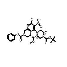 COC(=O)[C@H]1CN(C(=O)OC(C)(C)C)[C@H](C)CN1c1c2c(nc(Cl)c1[N+](=O)[O-])CN(C(=O)Oc1ccccc1)CC2